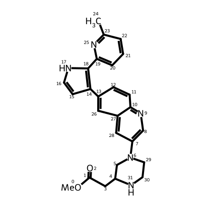 COC(=O)CC1CN(c2cnc3ccc(-c4cc[nH]c4-c4cccc(C)n4)cc3c2)CCN1